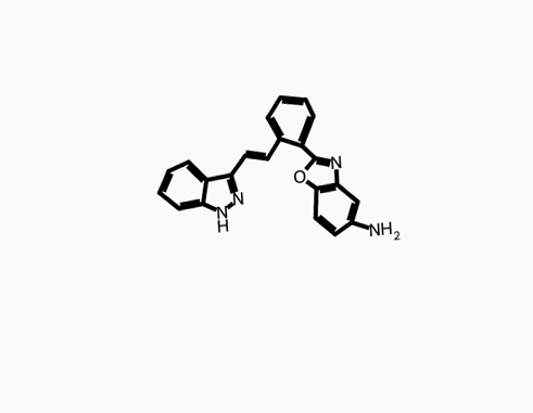 Nc1ccc2oc(-c3ccccc3C=Cc3n[nH]c4ccccc34)nc2c1